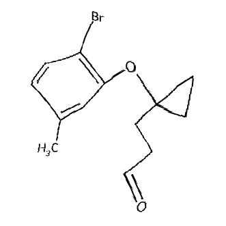 Cc1ccc(Br)c(OC2(CCC=O)CC2)c1